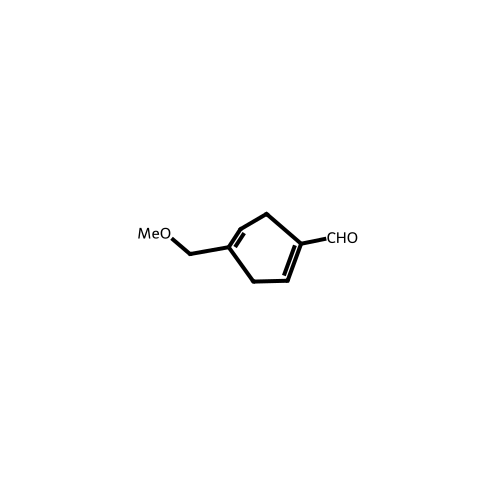 COCC1=CCC(C=O)=CC1